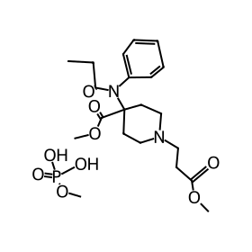 CCC(=O)N(c1ccccc1)C1(C(=O)OC)CCN(CCC(=O)OC)CC1.COP(=O)(O)O